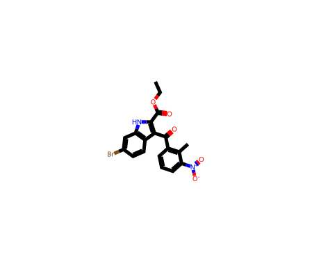 CCOC(=O)c1[nH]c2cc(Br)ccc2c1C(=O)c1cccc([N+](=O)[O-])c1C